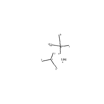 C[C](C)C.[LiH].[Li][C](C)(C)C